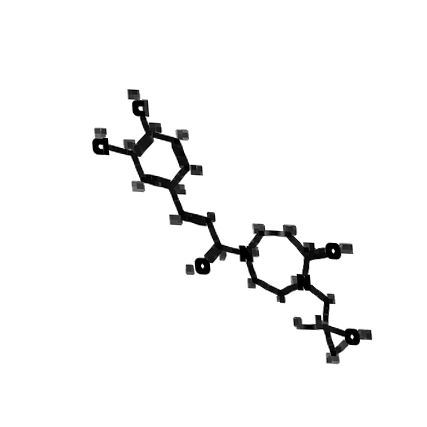 CC1(CN2CCN(C(=O)C=Cc3ccc(Cl)c(Cl)c3)CCC2=O)CO1